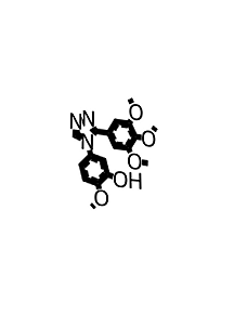 COc1ccc(-n2cnnc2-c2cc(OC)c(OC)c(OC)c2)cc1O